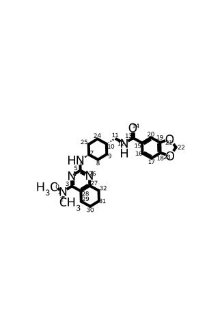 CN(C)c1nc(N[C@H]2CC[C@@H](CNC(=O)c3ccc4c(c3)OCO4)CC2)nc2c1CCCC2